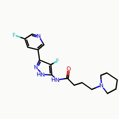 O=C(CCCN1CCCCC1)Nc1[nH]nc(-c2cncc(F)c2)c1F